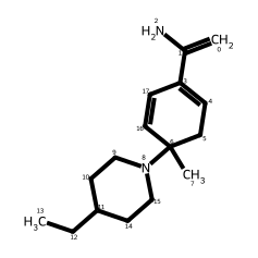 C=C(N)C1=CCC(C)(N2CCC(CC)CC2)C=C1